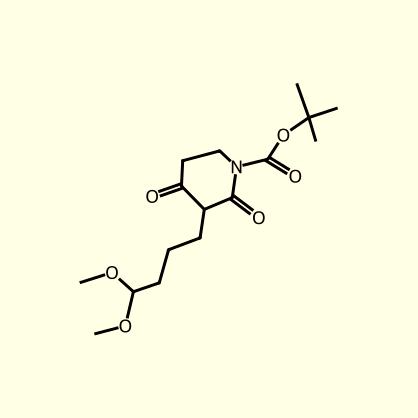 COC(CCCC1C(=O)CCN(C(=O)OC(C)(C)C)C1=O)OC